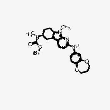 CN(C(=O)OC(C)(C)C)C1CCc2c(c3ccc(Nc4ccc5c(c4)OCCCO5)nc3n2C)C1